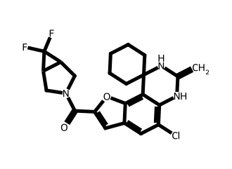 C=C1Nc2c(Cl)cc3cc(C(=O)N4CC5C(C4)C5(F)F)oc3c2C2(CCCCC2)N1